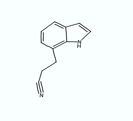 N#CCCc1cccc2cc[nH]c12